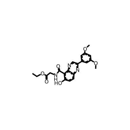 CCOC(=O)CNC(=O)c1c(O)ccc2nc(-c3cc(OC)cc(OC)c3)cnc12